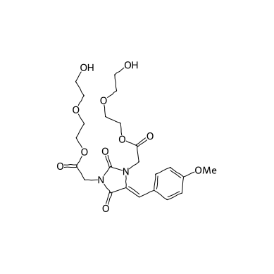 COc1ccc(C=C2C(=O)N(CC(=O)OCCOCCO)C(=O)N2CC(=O)OCCOCCO)cc1